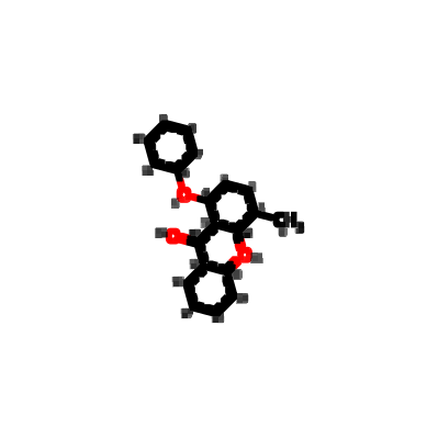 Cc1ccc(Oc2ccccc2)c2c(=O)c3ccccc3oc12